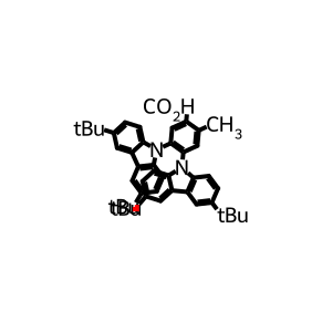 Cc1cc(-n2c3ccc(C(C)(C)C)cc3c3cc(C(C)(C)C)ccc32)c(-n2c3ccc(C(C)(C)C)cc3c3cc(C(C)(C)C)ccc32)cc1C(=O)O